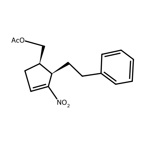 CC(=O)OC[C@@H]1CC=C([N+](=O)[O-])[C@@H]1CCc1ccccc1